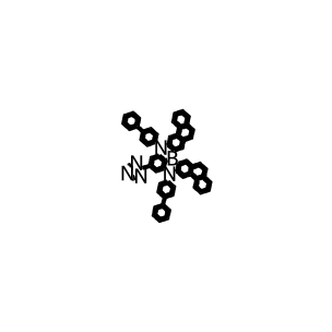 c1ccc(-c2ccc(N3c4cc5c(ccc6ccccc65)cc4B4c5cc6ccc7ccccc7c6cc5N(c5ccc(-c6ccccc6)cc5)c5cc(-c6ncncn6)cc3c54)cc2)cc1